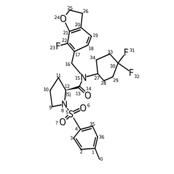 Cc1ccc(S(=O)(=O)N2CCC[C@H]2C(=O)N(Cc2ccc3c(c2F)OCC3)C2CCC(F)(F)CC2)cc1